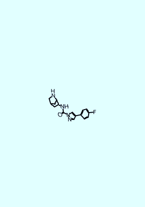 O=C(NC1CC2CNC1C2)n1cc(-c2ccc(F)cc2)cn1